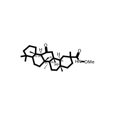 CONC(=O)C1(C)CC[C@]2(C)CC[C@]3(C)[C@H](CC(=O)[C@@H]4[C@@]5(C)CCCC(C)(C)C5CC[C@]43C)[C@H]2C1